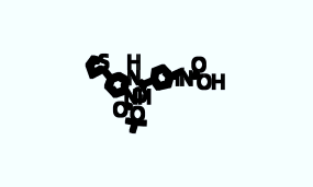 CC(C)(C)OC(=O)Nc1ccc(-c2cccs2)cc1NC(=O)c1ccc(CNC(=O)O)cc1